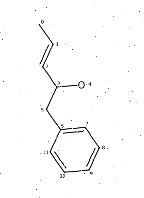 CC=CC([O])Cc1ccccc1